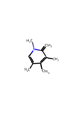 C=C1C(C)=C(C)C(C)=CN1C